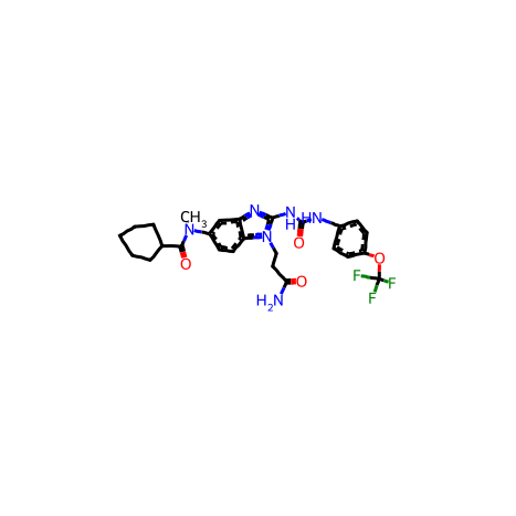 CN(C(=O)C1CCCCC1)c1ccc2c(c1)nc(NC(=O)Nc1ccc(OC(F)(F)F)cc1)n2CCC(N)=O